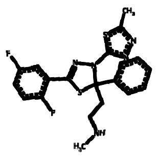 CNCCC1(c2ccccc2)SC(c2cc(F)ccc2F)=NN1c1nnc(C)s1